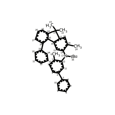 Cc1ccc(-c2ccccc2)cc1N(c1cc2c(cc1C)C(C)(C)c1cccc(-c3ccccc3)c1-2)C(C)(C)C